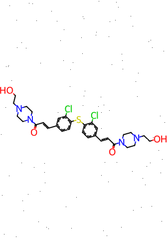 O=C(/C=C/c1ccc(Sc2ccc(/C=C/C(=O)N3CCN(CCO)CC3)cc2Cl)c(Cl)c1)N1CCN(CCO)CC1